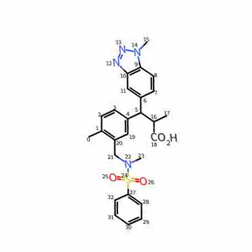 Cc1ccc(C(c2ccc3c(c2)nnn3C)C(C)C(=O)O)cc1CN(C)S(=O)(=O)c1ccccc1